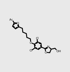 CC(=O)c1ccc(CCCCCOc2c(Cl)cc(C3=NC(CO)CO3)cc2Cl)o1